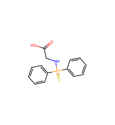 O=C(O)CNP(=S)(c1ccccc1)c1ccccc1